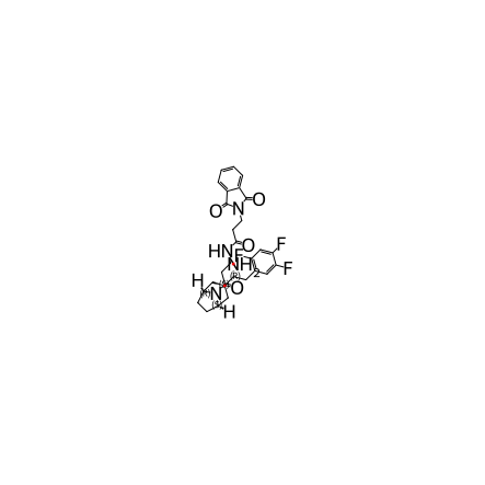 N[C@H](Cc1cc(F)c(F)cc1F)[C@@H]1C[C@H]2CC[C@@H](C1)N2C(=O)CCNC(=O)CCN1C(=O)c2ccccc2C1=O